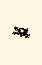 COC(=O)Nc1ccc2c(c1)N(C(=O)C(F)(F)F)CCCCC[C@H](NC(=O)OC(C)(C)C)c1nc-2c(Br)n1COCC[Si](C)(C)C